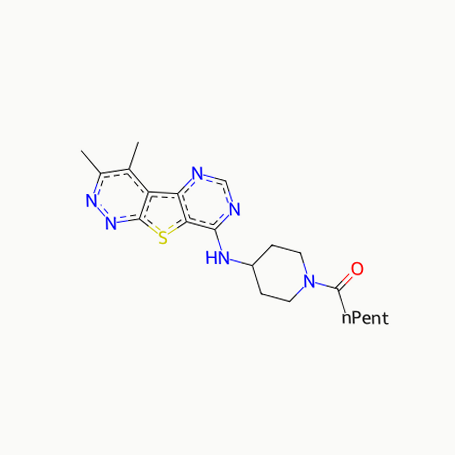 CCCCCC(=O)N1CCC(Nc2ncnc3c2sc2nnc(C)c(C)c23)CC1